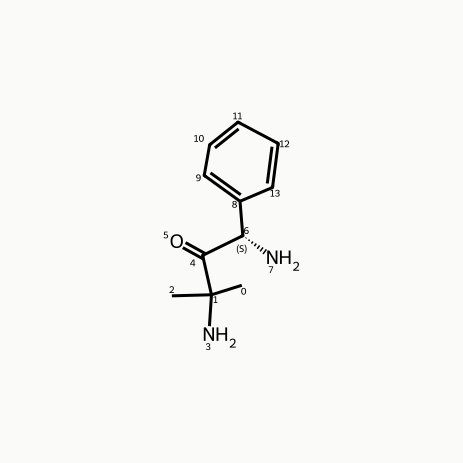 CC(C)(N)C(=O)[C@@H](N)c1ccccc1